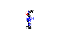 CCCN(CC1CC1)C(=O)c1ccc(Nc2nccc(-c3cnn(C(CC#N)C4CCCC4)c3)n2)cc1